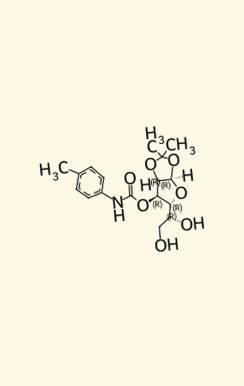 Cc1ccc(NC(=O)O[C@H]2[C@H]3OC(C)(C)O[C@H]3O[C@@H]2[C@H](O)CO)cc1